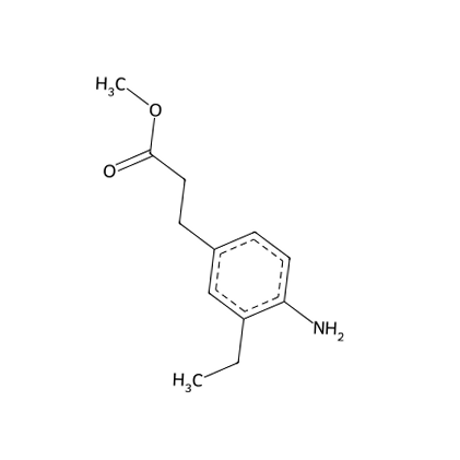 CCc1cc(CCC(=O)OC)ccc1N